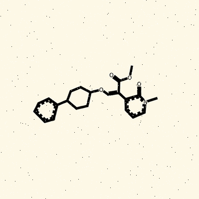 COC(=O)C(=COC1CCC(c2ccccc2)CC1)c1cccn(C)c1=O